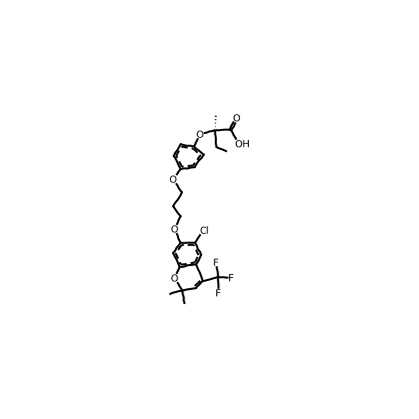 CC[C@@](C)(Oc1ccc(OCCCOc2cc3c(cc2Cl)C(C(F)(F)F)=CC(C)(C)O3)cc1)C(=O)O